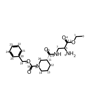 CCOC(=O)C(N)CNC(=O)[C@@H]1CCCN(C(=O)OCc2ccccc2)C1